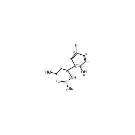 CC(C)(C)[S@@+]([O-])NC(CCO)c1cc(F)ccc1O